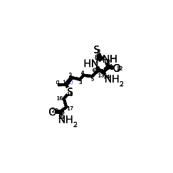 C/C(=C/CCCc1[nH]c(=S)[nH]c(=O)c1N)SCCC(N)=O